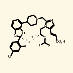 C[C@H](Cn1c(/C=C/C(=O)O)cnc1CN1CCC(c2cccc3c2O[C@@](C)(c2ccc(Cl)cc2F)O3)CC1)OC(F)F